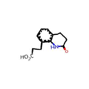 O=C(O)CCc1cccc2c1NC(=O)CC2